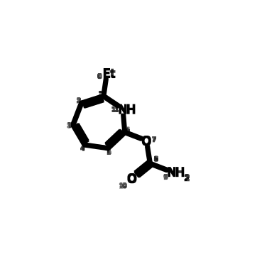 CCC1=CC=CC=C(OC(N)=O)N1